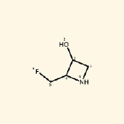 OC1CNC1CF